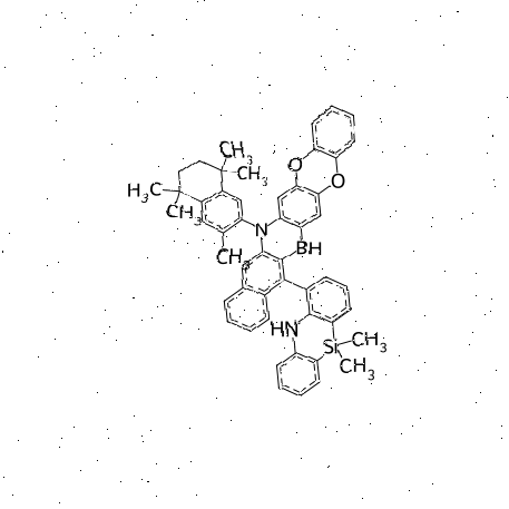 Cc1cc2c(cc1N1c3cc4c(cc3Bc3c1cc1ccccc1c3-c1cccc3c1Nc1ccccc1[Si]3(C)C)Oc1ccccc1O4)C(C)(C)CCC2(C)C